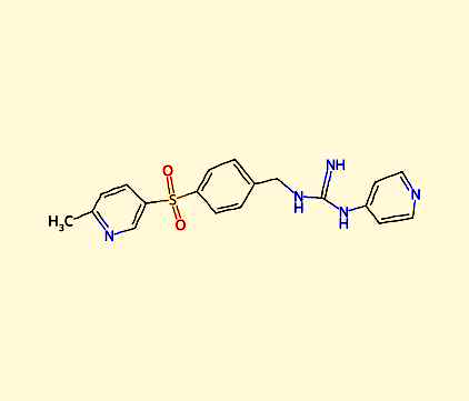 Cc1ccc(S(=O)(=O)c2ccc(CNC(=N)Nc3ccncc3)cc2)cn1